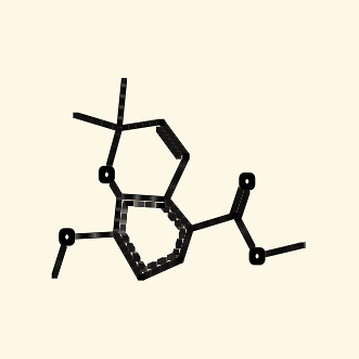 COC(=O)c1ccc(OC)c2c1C=CC(C)(C)O2